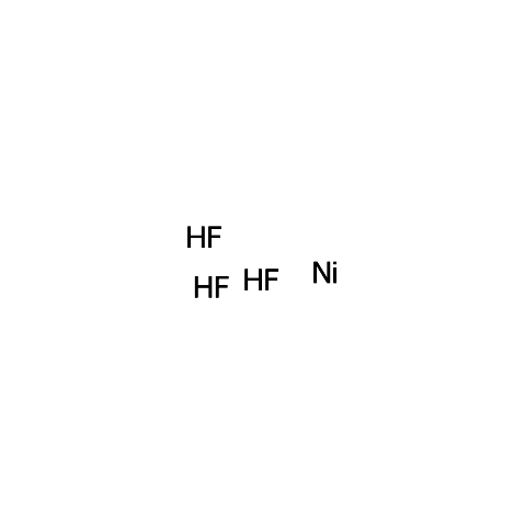 F.F.F.[Ni]